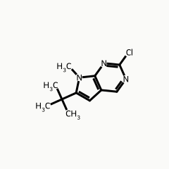 Cn1c(C(C)(C)C)cc2cnc(Cl)nc21